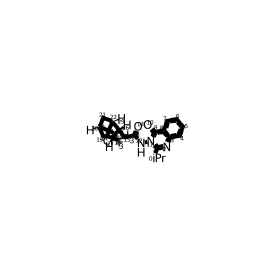 CC(C)c1nc2ccccc2c(=O)n1NC(=O)C[C@@H]1[C@H](F)C[C@H]2C[C@@H]1C2(C)C